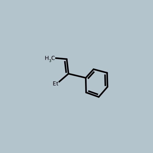 C/C=C(\CC)c1ccccc1